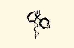 COCOC1=CC=CNC1(C)c1ccncc1